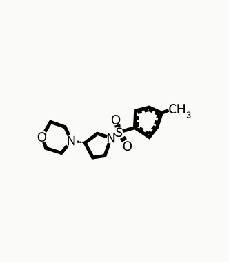 Cc1ccc(S(=O)(=O)N2CC[C@H](N3CCOCC3)C2)cc1